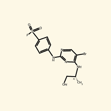 C[C@H](CO)Nc1nc(Nc2ccc(S(=O)(=O)F)cc2)ncc1Br